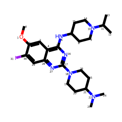 COc1cc2c(NC3CCN(C(C)C)CC3)nc(N3CCC(N(C)C)CC3)nc2cc1I